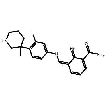 CC1(c2ccc(N/C=C3/C=CC=C(C(N)=O)C3=N)cc2F)CCCNC1